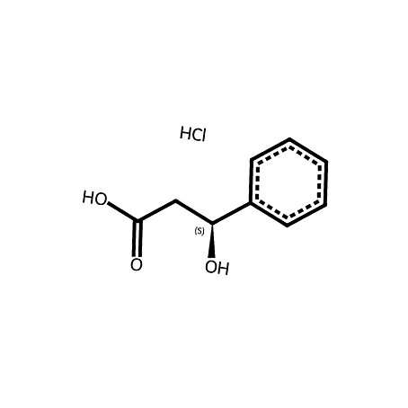 Cl.O=C(O)C[C@H](O)c1ccccc1